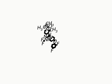 CC1c2nc(N3CCC(Oc4ccc(F)cc4F)CC3)c(NC(F)F)nc2CCN1C(=O)N(C)C